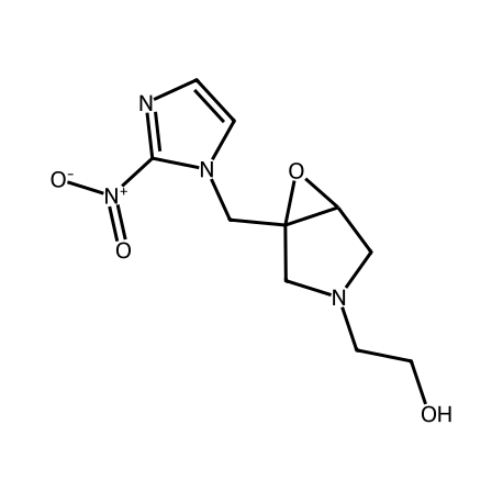 O=[N+]([O-])c1nccn1CC12CN(CCO)CC1O2